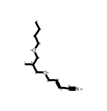 CCCCOCC(C)COC/C=C/C#N